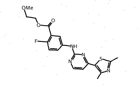 COCCOC(=O)c1cc(Nc2nccc(-c3sc(C)nc3C)n2)ccc1F